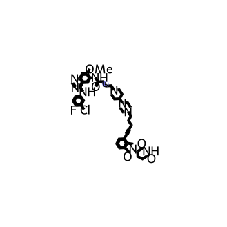 COc1cc2ncnc(Nc3ccc(F)c(Cl)c3)c2cc1NC(=O)/C=C/CN1CCC(N2CCN(CCCC#Cc3cccc4c3CN(C3CCC(=O)NC3=O)C4=O)CC2)CC1